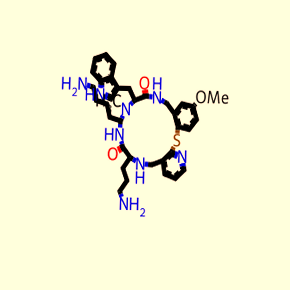 COc1ccc2c(c1)CNC(=O)C(Cc1c[nH]c3ccccc13)N(C)C(CCCCN)NC(=O)C(CCCN)NCc1cccnc1S2